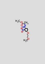 CCOC(=O)C(C)=NNc1ccc(OCCCOC)cc1[N+](=O)[O-]